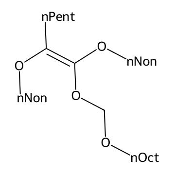 CCCCCCCCCOC(CCCCC)=C(OCCCCCCCCC)OCOCCCCCCCC